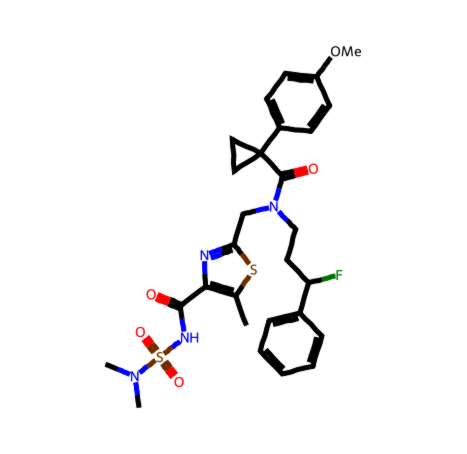 COc1ccc(C2(C(=O)N(CCC(F)c3ccccc3)Cc3nc(C(=O)NS(=O)(=O)N(C)C)c(C)s3)CC2)cc1